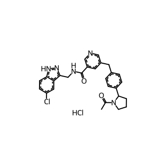 CC(=O)N1CCCC1c1ccc(Cc2cncc(C(=O)NCc3n[nH]c4ccc(Cl)cc34)c2)cc1.Cl